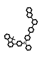 CC1(C)c2ccccc2-c2cccc(-c3ccc(N(c4ccccc4)c4ccc(-c5ccc(-c6cccc(-c7ccc8ccccc8c7)c6)cc5)cc4)cc3)c21